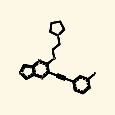 Fc1cccc(C#Cc2nc3cscc3nc2OCCN2CCCC2)c1